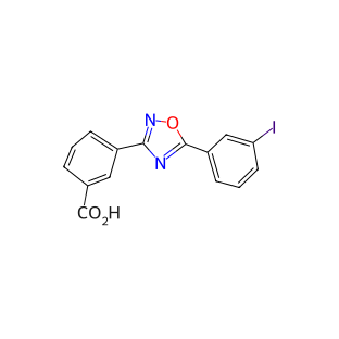 O=C(O)c1cccc(-c2noc(-c3cccc(I)c3)n2)c1